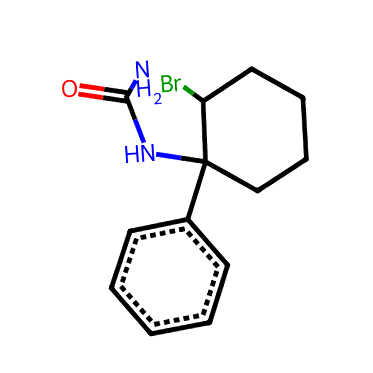 NC(=O)NC1(c2ccccc2)CCCCC1Br